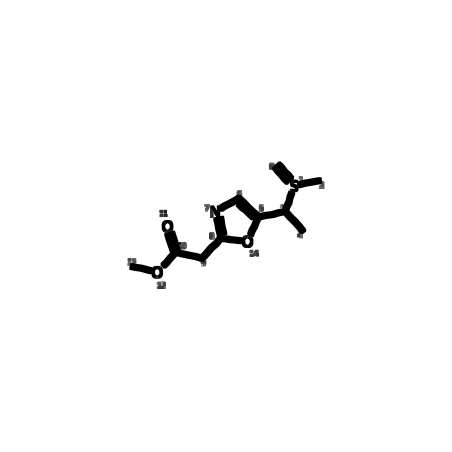 C=S(C)C(C)c1cnc(CC(=O)OC)o1